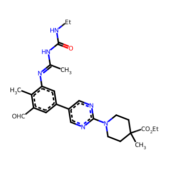 CCNC(=O)N/C(C)=N/c1cc(-c2cnc(N3CCC(C)(C(=O)OCC)CC3)nc2)cc(C=O)c1C